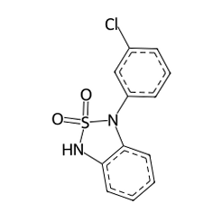 O=S1(=O)Nc2ccccc2N1c1cccc(Cl)c1